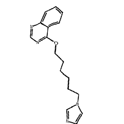 c1ccc2c(OCCCCCCn3ccnc3)ncnc2c1